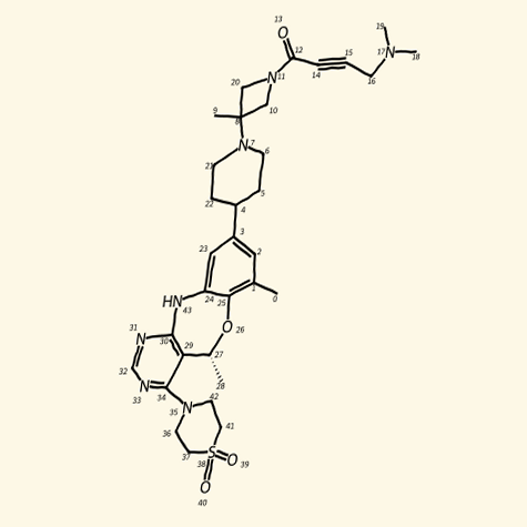 Cc1cc(C2CCN(C3(C)CN(C(=O)C#CCN(C)C)C3)CC2)cc2c1O[C@H](C)c1c(ncnc1N1CCS(=O)(=O)CC1)N2